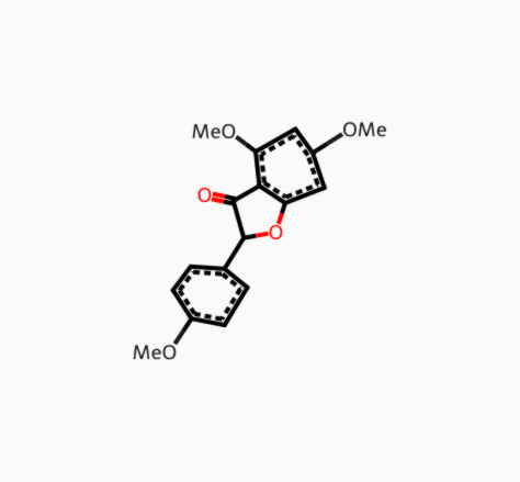 COc1ccc(C2Oc3cc(OC)cc(OC)c3C2=O)cc1